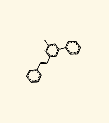 Cc1cc(-c2ccccc2)cc(/C=C/c2ccccc2)n1